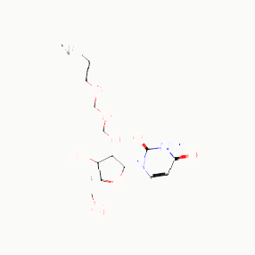 N#CCCOCOCO[C@H]1C(O)[C@@H](CO)O[C@H]1n1ccc(=O)[nH]c1=O